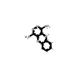 Nc1nnc(N)c2nc3ccccc3nc12